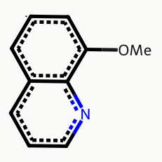 COc1c[c]cc2cccnc12